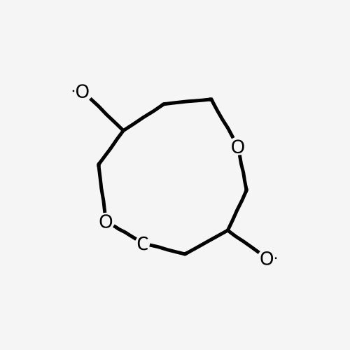 [O]C1CCOCC([O])CCOC1